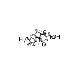 Cc1ccc(CN2C(=O)CC(C=NO)=C(Cl)c3ccccc32)cc1F